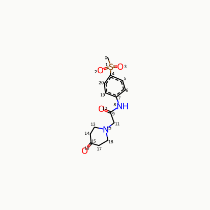 CS(=O)(=O)c1ccc(NC(=O)CN2CCC(=O)CC2)cc1